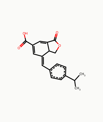 CC(C)c1ccc(/C=C2/C=C(C(=O)O)C=C3C(=O)OCC32)cc1